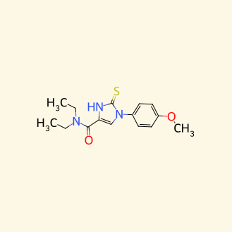 CCN(CC)C(=O)c1cn(-c2ccc(OC)cc2)c(=S)[nH]1